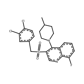 CC1CCN(c2c(S(=O)(=O)Cc3ccc(Cl)c(Cl)c3)cnc3c(F)cccc23)CC1